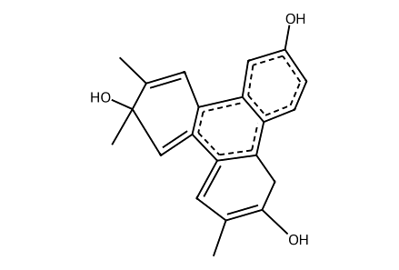 CC1=Cc2c(c3c(c4ccc(O)cc24)CC(O)=C(C)C=3)=CC1(C)O